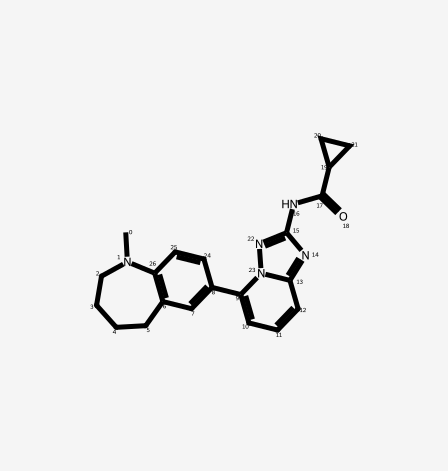 CN1CCCCc2cc(-c3cccc4nc(NC(=O)C5CC5)nn34)ccc21